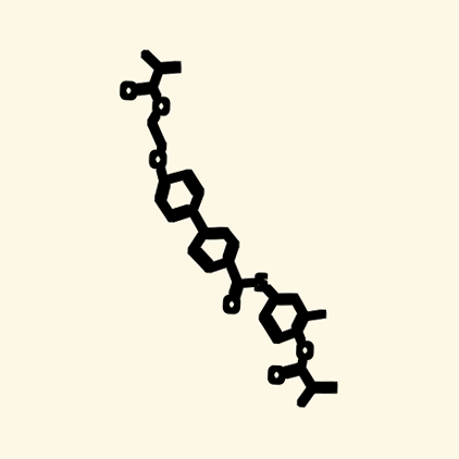 C=C(C)C(=O)OCCOc1ccc(-c2ccc(C(=O)Sc3ccc(OC(=O)C(=C)C)c(C)c3)cc2)cc1